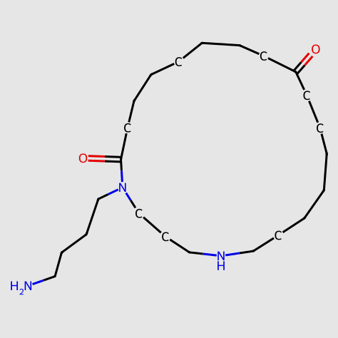 NCCCCN1CCCNCCCCCCCC(=O)CCCCCCCC1=O